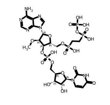 CO[C@@H]1[C@H](OP(=O)(O)OC[C@H]2O[C@@H](n3ccc(=O)[nH]c3=O)[C@H](O)[C@@H]2O)[C@@H](COP(=O)(O)CCP(=O)(O)OP(=O)(O)O)O[C@H]1n1cnc2c(N)ncnc21